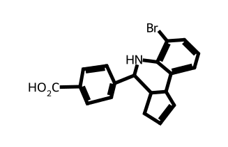 O=C(O)c1ccc(C2Nc3c(Br)cccc3C3C=CCC32)cc1